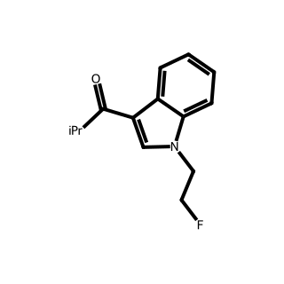 CC(C)C(=O)c1cn(CCF)c2ccccc12